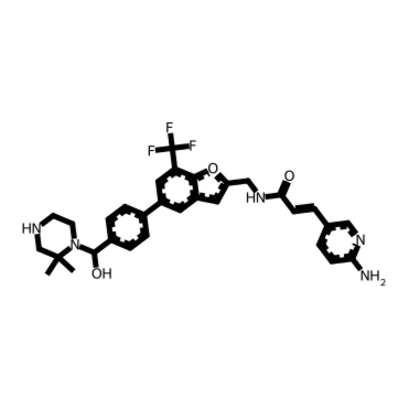 CC1(C)CNCCN1C(O)c1ccc(-c2cc(C(F)(F)F)c3oc(CNC(=O)/C=C/c4ccc(N)nc4)cc3c2)cc1